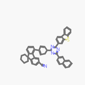 N#Cc1ccc2c(c1)-c1c(C3=CCC(c4nc(-c5ccc6ccccc6c5)nc(-c5ccc6c(c5)sc5ccccc56)n4)C=C3)cccc1C21CCCCC1